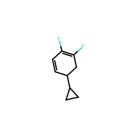 FC1=C(F)CC(C2CC2)C=C1